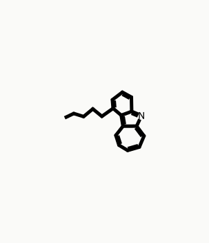 CCCCCc1cccc2nc3cccccc-3c12